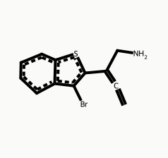 C=C=C(CN)c1sc2ccccc2c1Br